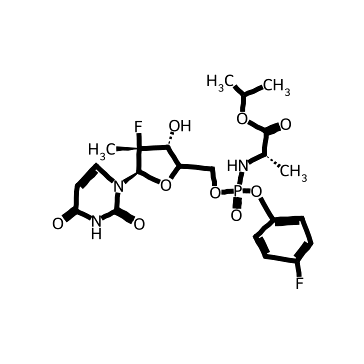 CC(C)OC(=O)[C@H](C)NP(=O)(OCC1O[C@@H](n2ccc(=O)[nH]c2=O)[C@](C)(F)[C@@H]1O)Oc1ccc(F)cc1